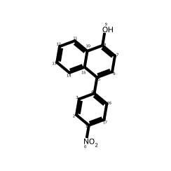 O=[N+]([O-])c1ccc(-c2ccc(O)c3ccccc23)cc1